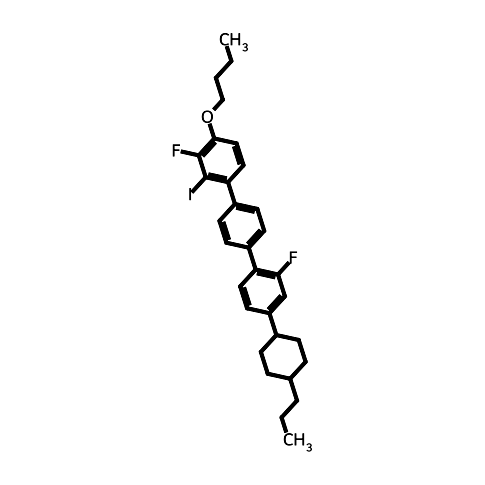 CCCCOc1ccc(-c2ccc(-c3ccc(C4CCC(CCC)CC4)cc3F)cc2)c(I)c1F